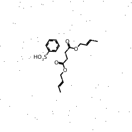 CC=CCOC(=O)CCC(=O)OCC=CC.O=S(=O)(O)c1ccccc1